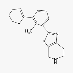 Cc1c(C2=CCCCC2)cccc1-c1nc2c(s1)CNCC2